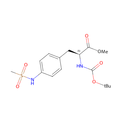 COC(=O)[C@H](Cc1ccc(NS(C)(=O)=O)cc1)NC(=O)OC(C)(C)C